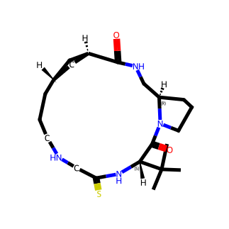 CC(C)(C)[C@@H]1NC(=S)CNCCC[C@H]2C[C@@H](C2)C(=O)NC[C@H]2CCCN2C1=O